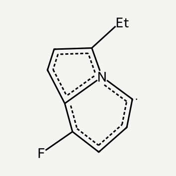 CCc1ccc2c(F)cc[c]n12